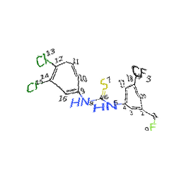 FCc1cc(NC(=S)Nc2ccc(Cl)c(Cl)c2)cc(C(F)(F)F)c1